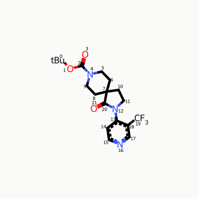 CC(C)(C)OC(=O)N1CCC2(CC1)CCN(c1ccncc1C(F)(F)F)C2=O